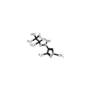 Cn1cc(B(O)OC(C)(C)C(C)(C)O)c(C(F)(F)F)n1